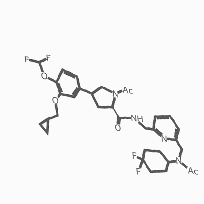 CC(=O)N(Cc1cccc(CNC(=O)[C@H]2CC(c3ccc(OC(F)F)c(OCC4CC4)c3)CN2C(C)=O)n1)C1CCC(F)(F)CC1